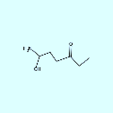 CCC(=O)CCC(N)O